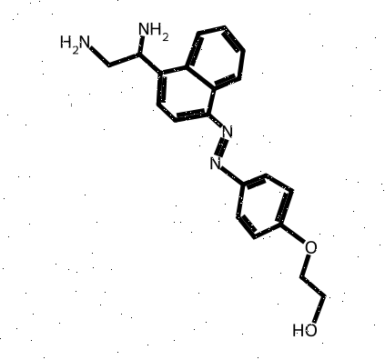 NCC(N)c1ccc(N=Nc2ccc(OCCO)cc2)c2ccccc12